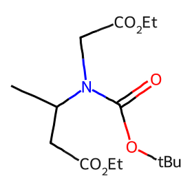 CCOC(=O)CC(C)N(CC(=O)OCC)C(=O)OC(C)(C)C